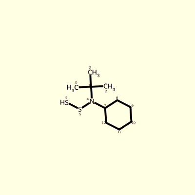 CC(C)(C)N(SS)C1CCCCC1